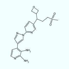 CS(=O)(=O)CCC(c1ccc(-n2cc(-c3ccnc(N)c3N)cn2)nc1)C1COC1